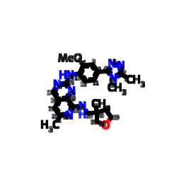 COc1cc(-c2nnc(C)n2C)ccc1Nc1ncc2cc(C)nc(NCC3(C)CCOC3)c2n1